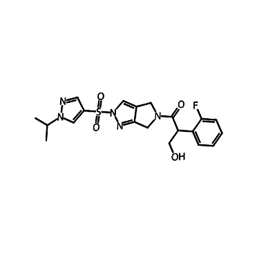 CC(C)n1cc(S(=O)(=O)n2cc3c(n2)CN(C(=O)C(CO)c2ccccc2F)C3)cn1